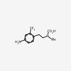 CC(C)(C)N(CCc1ccc(N)cc1C(F)(F)F)C(=O)O